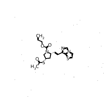 C=CCOC(=O)N1C[C@@H](SC(C)=O)C[C@H]1C=Cc1ncn2ccsc12